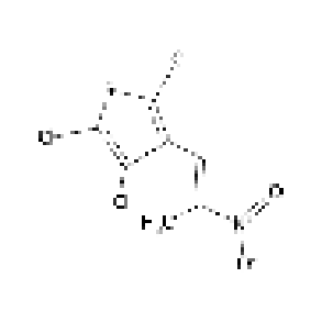 CC(=Cc1c(Cl)sc(Cl)c1Cl)[N+](=O)[O-]